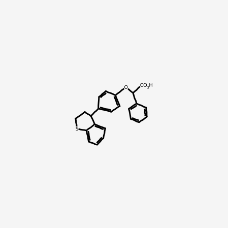 O=C(O)C(Oc1ccc(C2CCSc3ccccc32)cc1)c1ccccc1